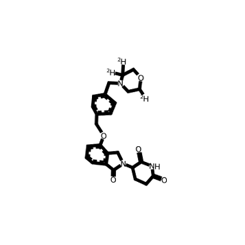 [2H]C1CN(Cc2ccc(COc3cccc4c3CN(C3CCC(=O)NC3=O)C4=O)cc2)C([2H])([2H])CO1